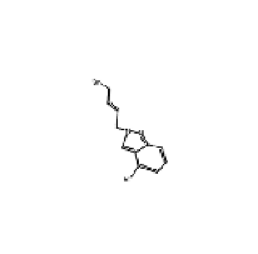 BrC/C=C/Cn1cc2c(Br)cccc2n1